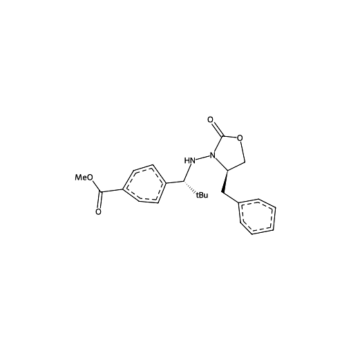 COC(=O)c1ccc([C@H](NN2C(=O)OC[C@H]2Cc2ccccc2)C(C)(C)C)cc1